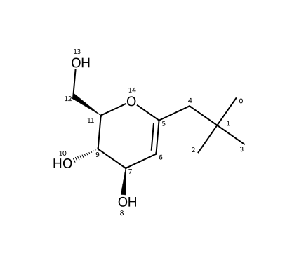 CC(C)(C)CC1=C[C@@H](O)[C@H](O)[C@@H](CO)O1